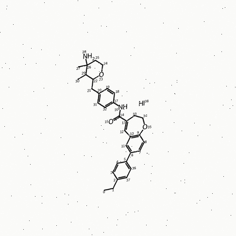 CCc1ccc(-c2ccc3c(c2)C=C(C(=O)Nc2ccc(CC4OCCC(C)(N)C4C)cc2)CCO3)cc1.I